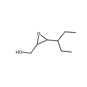 CCC(CC)C1OC1CO